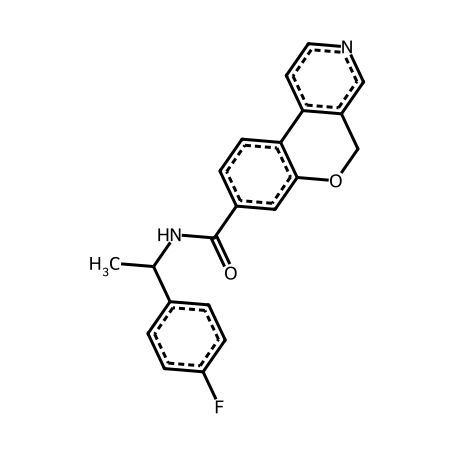 CC(NC(=O)c1ccc2c(c1)OCc1cnccc1-2)c1ccc(F)cc1